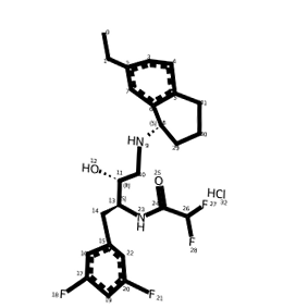 CCc1ccc2c(c1)[C@@H](NC[C@@H](O)[C@H](Cc1cc(F)cc(F)c1)NC(=O)C(F)F)CCC2.Cl